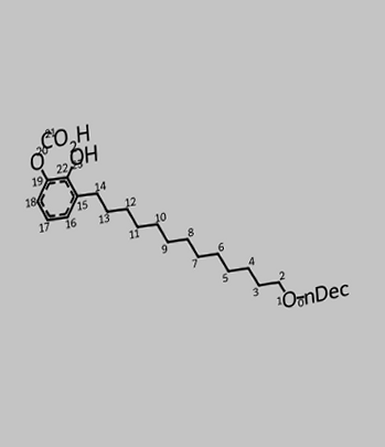 CCCCCCCCCCOCCCCCCCCCCCCCc1cccc(OC(=O)O)c1O